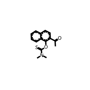 CC(=O)c1ccc2ccccc2c1OC(=S)N(C)C